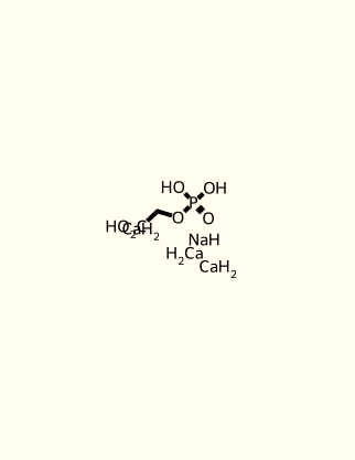 O=C(O)COP(=O)(O)O.[CaH2].[CaH2].[CaH2].[NaH]